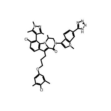 Cc1cc(OCCCc2c3n(c4c(-c5c(C)nn(C)c5C)c(Cl)ccc24)C(C)CN(c2cn(C)c4cc(-c5nnn[nH]5)ccc24)C3=O)cc(C)c1Cl